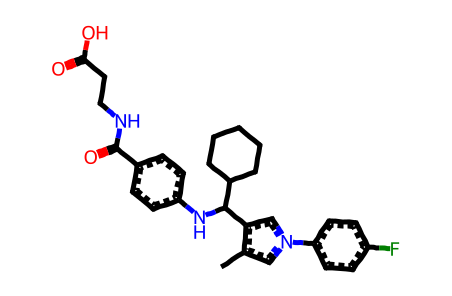 Cc1cn(-c2ccc(F)cc2)cc1C(Nc1ccc(C(=O)NCCC(=O)O)cc1)C1CCCCC1